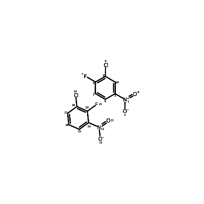 O=[N+]([O-])c1ccc(F)c(Cl)c1.O=[N+]([O-])c1cccc(Cl)c1F